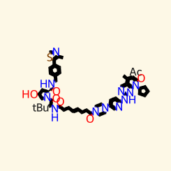 CC(=O)c1c(C)c2cnc(Nc3ccc(N4CCN(C(=O)CC/C=C/CCC(=O)NC(C(=O)N5C[C@H](O)C[C@H]5C(=O)NCc5ccc(-c6scnc6C)cc5)C(C)(C)C)CC4)cn3)nc2n(C2CCCC2)c1=O